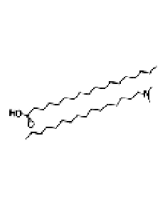 CCCCCCCCCCCCCCCCCC(=O)O.CCCCCCCCCCCCCCCCN(C)C